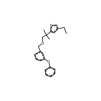 CCc1csc(C(C)(C)COCc2cccc(Oc3ccccc3)c2)c1